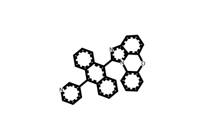 c1cncc(-c2c3ccccc3c(-c3nc4cccc5c4n3-c3ccccc3O5)c3ccccc23)c1